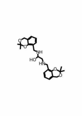 CC1(C)OCc2cccc(CNCC(O)NCc3cccc4c3OC(C)(C)OC4)c2O1